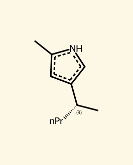 CCC[C@@H](C)c1c[nH]c(C)c1